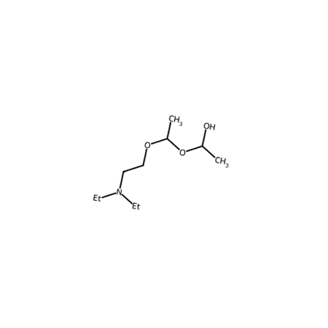 CCN(CC)CCOC(C)OC(C)O